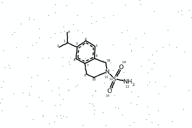 CC(C)c1ccc2c(c1)CCN(S(N)(=O)=O)C2